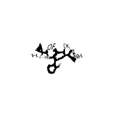 Cc1c(-c2cn[nH]c2)cc(-c2ccccc2F)c(NC(=O)C2(C)CC2)c1F